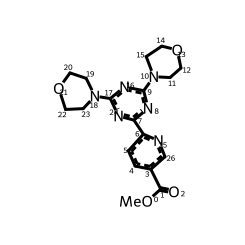 COC(=O)c1ccc(-c2nc(N3CCOCC3)nc(N3CCOCC3)n2)nc1